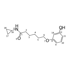 O=C(CCCCCOc1cccc(O)c1)NC1CC1